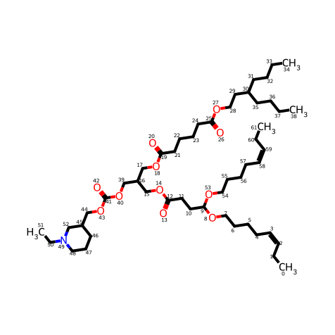 CC/C=C\CCCCOC(CCC(=O)OCC(COC(=O)CCCCC(=O)OCCC(CCCC)CCCC)COC(=O)OCC1CCCN(CC)C1)OCCCC/C=C\CC